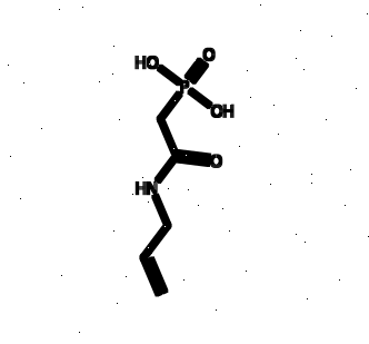 C=CCNC(=O)CP(=O)(O)O